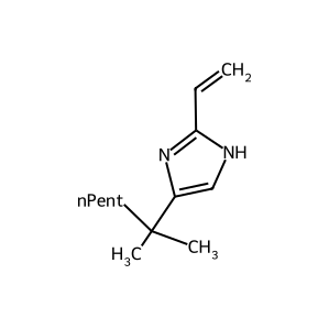 C=Cc1nc(C(C)(C)CCCCC)c[nH]1